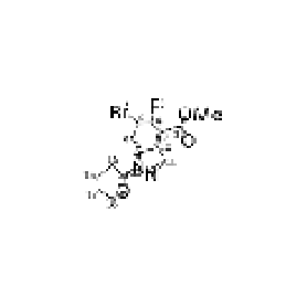 COC(=O)c1c(F)c(Br)cc2c1cnn2C1CCCCO1